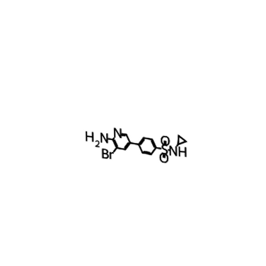 Nc1ncc(-c2ccc(S(=O)(=O)NC3CC3)cc2)cc1Br